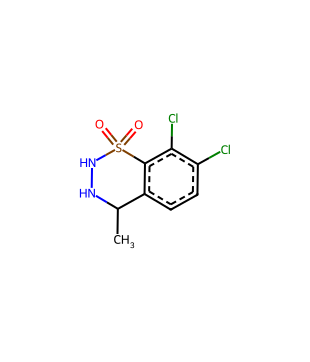 CC1NNS(=O)(=O)c2c1ccc(Cl)c2Cl